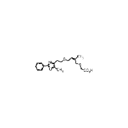 CC(=CCOCCc1nc(-c2ccccc2)oc1C)CSCC(=O)O